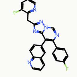 Fc1ccc(-c2ncn3nc(Cc4ncccc4F)nc3c2-c2ccc3ncccc3c2)cc1